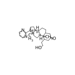 C[C@]12C(CCO)CC(=O)CC1CC[C@@H]1[C@@H]2CC[C@]2(C)C(c3ncccn3)=CC[C@@H]12